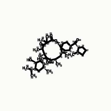 CO[C@]1(C)C[C@@H](C)CN(C)C2(CCN(C(=O)[C@@H]3CCCN3C)CC2)COC(=O)C(C)(C)C(=O)[C@H](C)[C@H]1O[C@@H]1O[C@H](C)C[C@H](N(C)C)[C@H]1O